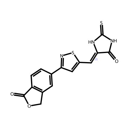 O=C1NC(=S)N/C1=C\c1cc(-c2ccc3c(c2)COC3=O)ns1